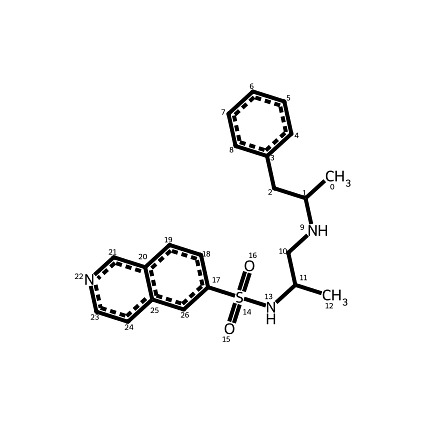 CC(Cc1ccccc1)NCC(C)NS(=O)(=O)c1ccc2cnccc2c1